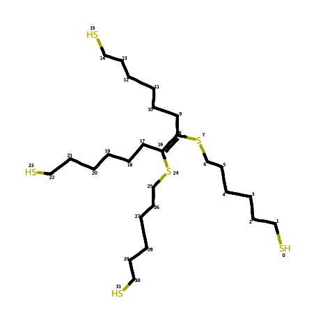 SCCCCCCSC(CCCCCCS)=C(CCCCCCS)SCCCCCCS